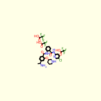 CC(N)c1ccc(C(=O)Nc2ccccc2C(=O)Nc2ccc(Cl)cn2)c(OC2CCCNC2)c1.O=C(O)C(F)(F)F.O=C(O)C(F)(F)F.O=C(O)C(F)(F)F